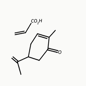 C=C(C)C1CC=C(C)C(=O)C1.C=CC(=O)O